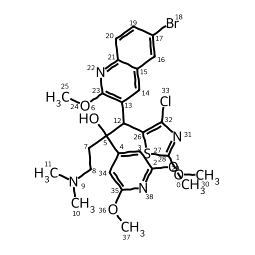 COc1cc(C(O)(CCN(C)C)C(c2cc3cc(Br)ccc3nc2OC)c2sc(OC)nc2Cl)cc(OC)n1